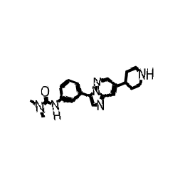 CN(C)C(=O)Nc1cccc(-c2cnc3cc(C4CCNCC4)cnn23)c1